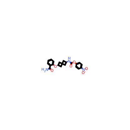 NC(=O)c1ccccc1O[C@H]1CC2(C[C@H](NC(=O)Oc3ccc([N+](=O)[O-])cc3)C2)C1